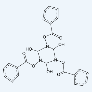 O=C(ON1C(O)N(OC(=O)c2ccccc2)C(O)N(OC(=O)c2ccccc2)C1O)c1ccccc1